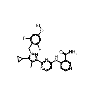 CCOc1cc(F)c(Cn2nc(-c3nccc(Nc4ccncc4C(N)=O)n3)c(C)c2C2CC2)c(F)c1